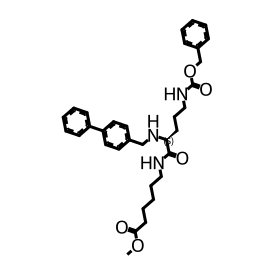 COC(=O)CCCCCNC(=O)[C@H](CCCNC(=O)OCc1ccccc1)NCc1ccc(-c2ccccc2)cc1